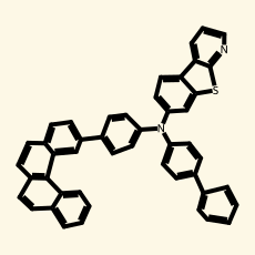 c1ccc(-c2ccc(N(c3ccc(-c4ccc5ccc6ccc7ccccc7c6c5c4)cc3)c3ccc4c(c3)sc3ncccc34)cc2)cc1